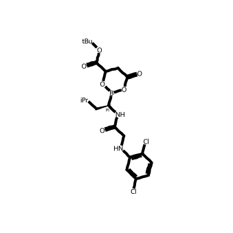 CC(C)C[C@H](NC(=O)CNc1cc(Cl)ccc1Cl)B1OC(=O)CC(C(=O)OC(C)(C)C)O1